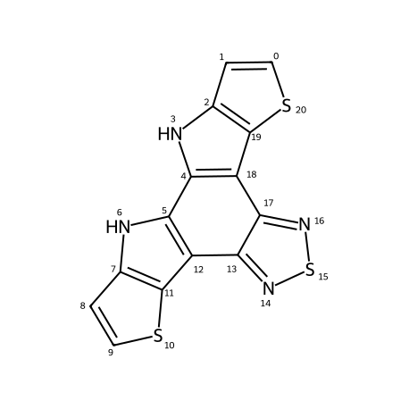 c1cc2[nH]c3c4[nH]c5ccsc5c4c4nsnc4c3c2s1